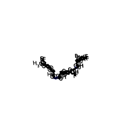 CNC(=O)C(CC1CC1(F)F)c1ccc(S(=O)(=O)N2CCC(CNS(=O)(=O)/C=C\C=C\S(=O)(=O)NCC3CCN(S(=O)(=O)c4ccc(C(CC5CC5(F)F)C(=O)NCC/C=C/S(=O)(=O)NCC5CCN(S(=O)(=O)c6ccc(OC(F)(F)F)cc6Br)C5)cc4)C3)C2)cc1